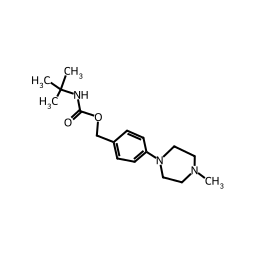 CN1CCN(c2ccc(COC(=O)NC(C)(C)C)cc2)CC1